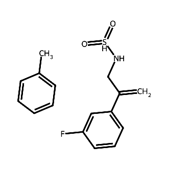 C=C(CN[SH](=O)=O)c1cccc(F)c1.Cc1ccccc1